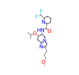 COCCCc1cn2cc(NC(=O)c3cccc(C(F)F)n3)c(OC(C)C)cc2n1